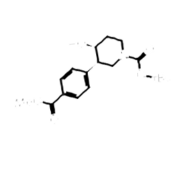 COC(=O)c1ccc([C@@H]2CN(C(=O)OC(C)(C)C)CC[C@@H]2O)cc1